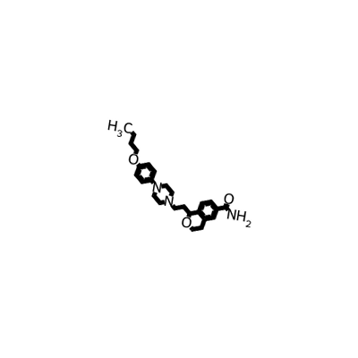 CCCCOc1ccc(N2CCN(CCC3OCCc4cc(C(N)=O)ccc43)CC2)cc1